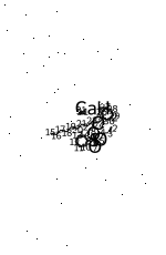 C=C.C=CCOS(=O)(=O)c1ccccc1.CCCCCCCCCOc1ccccc1.[CaH2]